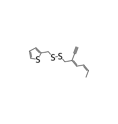 C#C/C(=C\C=C/C)CSSCc1cccs1